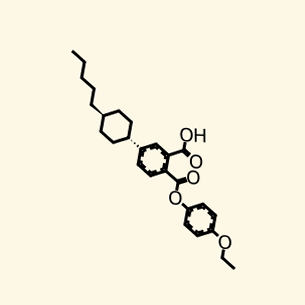 CCCCC[C@H]1CC[C@H](c2ccc(C(=O)Oc3ccc(OCC)cc3)c(C(=O)O)c2)CC1